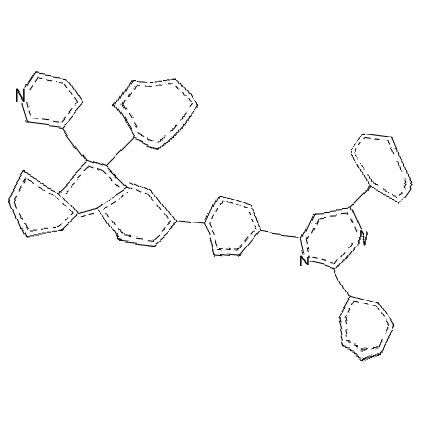 c1ccc(-c2cc(-c3ccc(-c4ccc5c(c4)c(-c4ccccc4)c(-c4cccnc4)c4ccccc45)cc3)nc(-c3ccccc3)n2)cc1